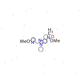 COC(=O)N1c2ccc3c(nc(Cc4cccc(OC)n4)n3C3CCCCC3)c2CC[C@@H]1C